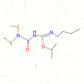 CCCCN=C(NC(=O)N(SC)SC)OC(C)C